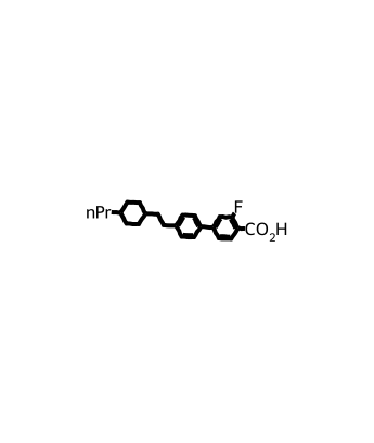 CCCC1CCC(CCc2ccc(-c3ccc(C(=O)O)c(F)c3)cc2)CC1